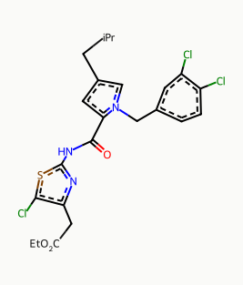 CCOC(=O)Cc1nc(NC(=O)c2cc(CC(C)C)cn2Cc2ccc(Cl)c(Cl)c2)sc1Cl